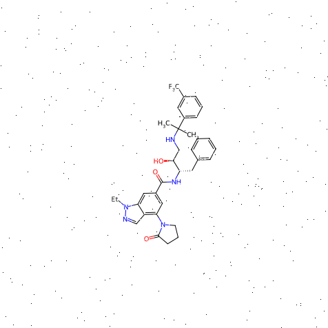 CCn1ncc2c(N3CCCC3=O)cc(C(=O)N[C@@H](Cc3ccccc3)[C@@H](O)CNC(C)(C)c3cccc(C(F)(F)F)c3)cc21